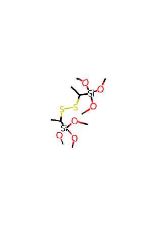 CO[Si](OC)(OC)C(C)SSC(C)[Si](OC)(OC)OC